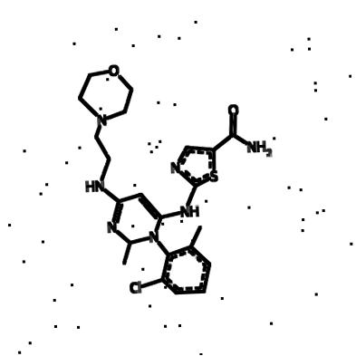 Cc1cccc(Cl)c1N1C(Nc2ncc(C(N)=O)s2)=CC(NCCN2CCOCC2)=NC1C